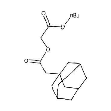 CCCCOC(=O)COC(=O)CC12CC3CC(CC(C3)C1)C2